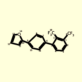 FC(F)(F)c1cccc(-c2ccc(-c3ccco3)cc2)c1C(F)(F)F